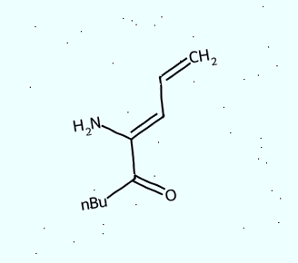 C=C/C=C(\N)C(=O)CCCC